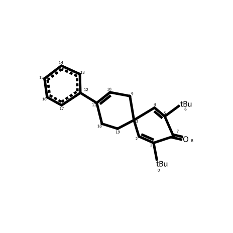 CC(C)(C)C1=CC2(C=C(C(C)(C)C)C1=O)CC=C(c1ccccc1)CC2